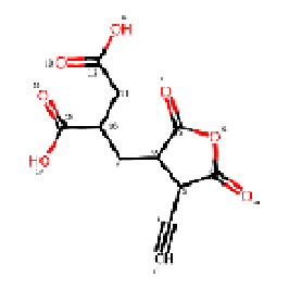 C#CC1C(=O)OC(=O)C1CC(CC(=O)O)C(=O)O